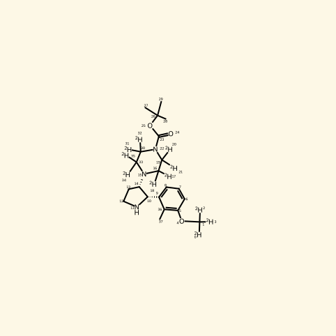 [2H]C([2H])([2H])Oc1cccc([C@@H]2NCC[C@@H]2N2C([2H])([2H])C([2H])([2H])N(C(=O)OC(C)(C)C)C([2H])([2H])C2([2H])[2H])c1C